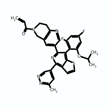 C=CC(=O)N1CCc2ncc(-c3nc(-c4cnnc(C)c4)c4ccsc4c3-c3c(F)cc(F)cc3OC(C)C)cc2C1